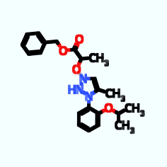 CC1=CN(OC(C)C(=O)OCc2ccccc2)NN1c1ccccc1OC(C)C